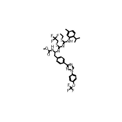 CCS/C(=N\C(=N\C(Cc1ccc(-c2ncn(-c3ccc(OC(F)(F)F)cc3)n2)cc1)NC(=O)OC)SCC(F)(F)F)Nc1cc(C)ccc1C(C)C